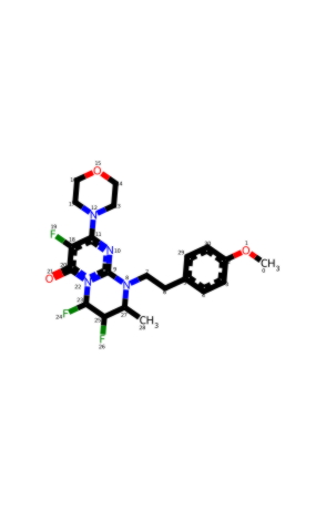 COc1ccc(CCN2c3nc(N4CCOCC4)c(F)c(=O)n3C(F)C(F)C2C)cc1